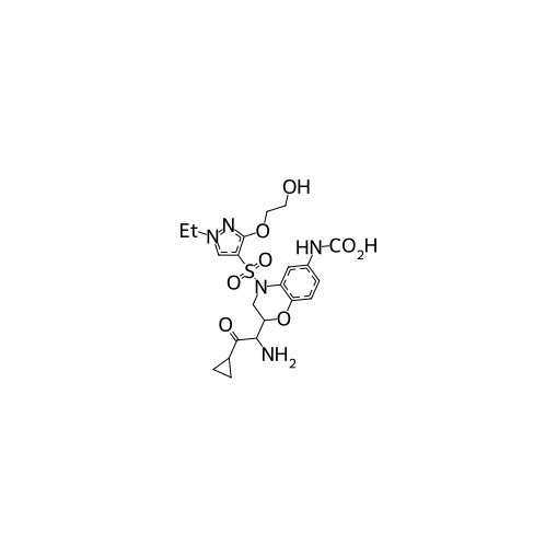 CCn1cc(S(=O)(=O)N2CC(C(N)C(=O)C3CC3)Oc3ccc(NC(=O)O)cc32)c(OCCO)n1